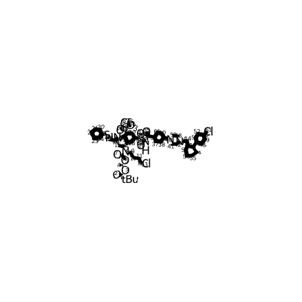 CC(C)(C)C(=O)OCOC(=O)N(CCCCCl)CC[C@H](CSc1ccccc1)Nc1ccc(S(=O)(=O)NC(=O)c2ccc(N3CCN(CC4=C(c5ccc(Cl)cc5)CCCC4)CC3)cc2)cc1S(=O)(=O)C(F)(F)F